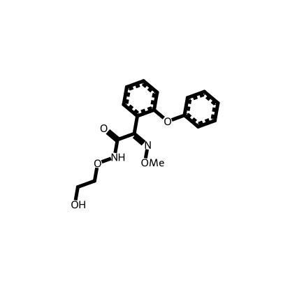 CON=C(C(=O)NOCCO)c1ccccc1Oc1ccccc1